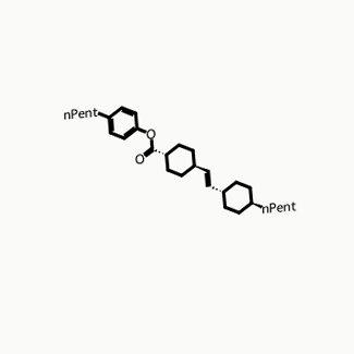 CCCCCc1ccc(OC(=O)[C@H]2CC[C@H](C=C[C@H]3CC[C@H](CCCCC)CC3)CC2)cc1